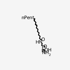 CCCCCC=CCC=CCCCCCCCC(=O)NCC[PH](=O)CC(N)O